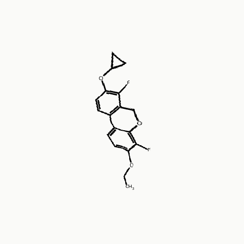 CCOc1ccc2c(c1F)OCc1c-2ccc(OC2CC2)c1F